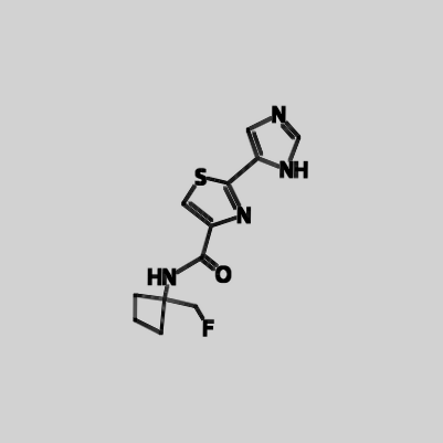 O=C(NC1(CF)CCC1)c1csc(-c2cnc[nH]2)n1